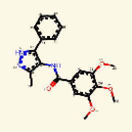 COc1cc(C(=O)Nc2c(C)n[nH]c2-c2ccccc2)cc(OC)c1OC